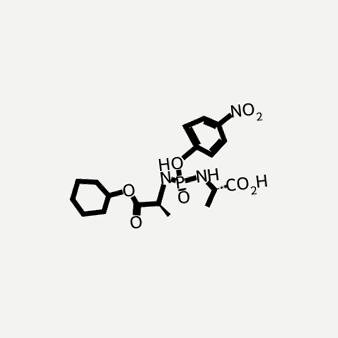 C[C@H](NP(=O)(N[C@@H](C)C(=O)OC1CCCCC1)Oc1ccc([N+](=O)[O-])cc1)C(=O)O